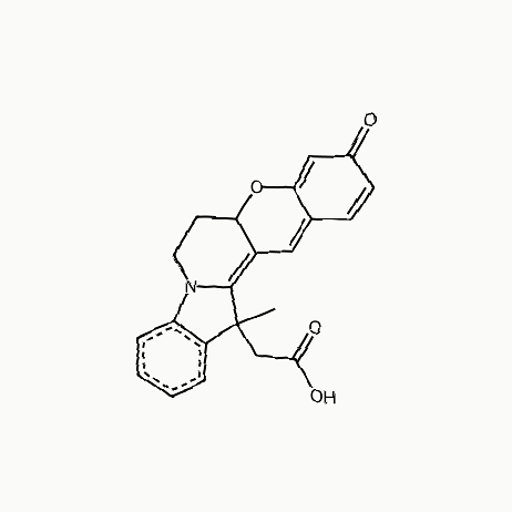 CC1(CC(=O)O)C2=C3C=C4C=CC(=O)C=C4OC3CCN2c2ccccc21